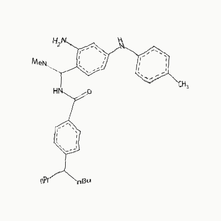 CCCCC(CCC)c1ccc(C(=O)NC(NC)c2ccc(Nc3ccc(C)cc3)cc2N)cc1